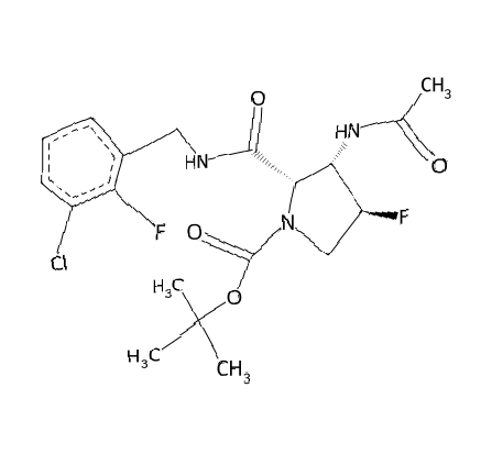 CC(=O)N[C@H]1[C@@H](C(=O)NCc2cccc(Cl)c2F)N(C(=O)OC(C)(C)C)C[C@@H]1F